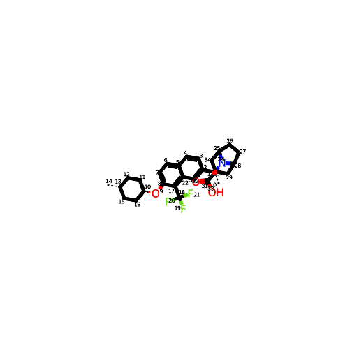 C[C@H](c1ccc2ccc(O[C@H]3CC[C@@H](C)CC3)c(C(F)(F)F)c2c1)N1C2CCC1CC(C(=O)O)C2